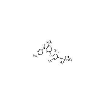 Cc1cc(C#CC(C)(C)O)cc(C)c1Oc1ccc([N+](=O)[O-])c(Nc2ccc(C#N)cc2)n1